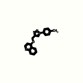 Cc1ccc(-n2cc(COc3ccnc4ccccc34)nn2)cc1